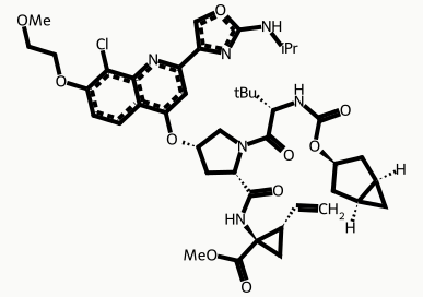 C=C[C@@H]1C[C@]1(NC(=O)[C@@H]1C[C@H](Oc2cc(-c3coc(NC(C)C)n3)nc3c(Cl)c(OCCOC)ccc23)CN1C(=O)[C@@H](NC(=O)O[C@@H]1C[C@@H]2C[C@@H]2C1)C(C)(C)C)C(=O)OC